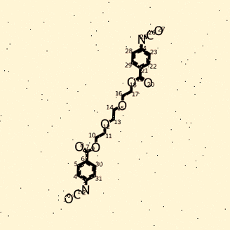 O=C=Nc1ccc(C(=O)OCCOCCOCCOC(=O)c2ccc(N=C=O)cc2)cc1